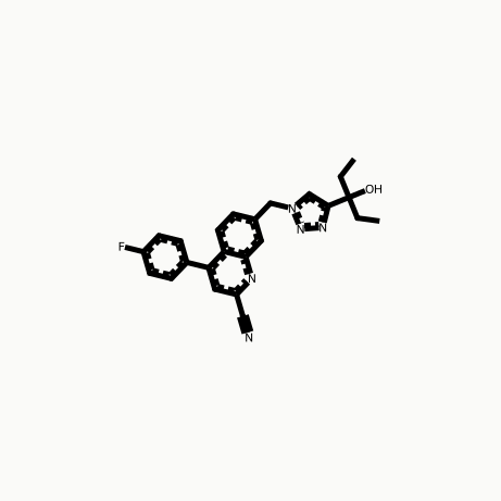 CCC(O)(CC)c1cn(Cc2ccc3c(-c4ccc(F)cc4)cc(C#N)nc3c2)nn1